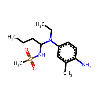 CCCC(NS(C)(=O)=O)N(CC)c1ccc(N)c(C)c1